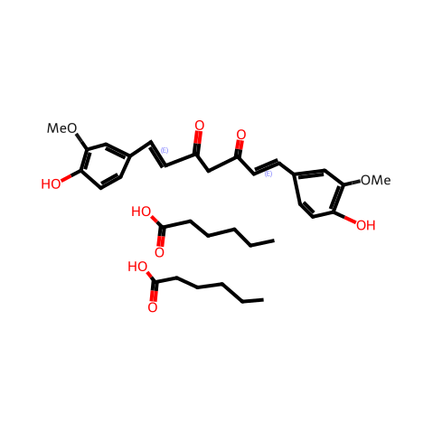 CCCCCC(=O)O.CCCCCC(=O)O.COc1cc(/C=C/C(=O)CC(=O)/C=C/c2ccc(O)c(OC)c2)ccc1O